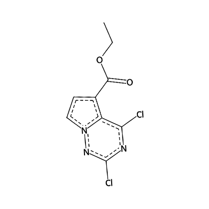 CCOC(=O)c1ccn2nc(Cl)nc(Cl)c12